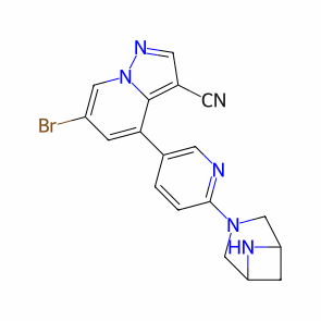 N#Cc1cnn2cc(Br)cc(-c3ccc(N4CC5CC(C4)N5)nc3)c12